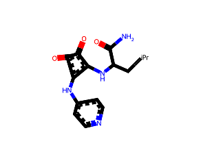 CC(C)CC(Nc1c(Nc2ccncc2)c(=O)c1=O)C(N)=O